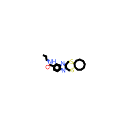 CCCNC(=O)c1ccc2nc3c(nc2c1)CSC1CCCCCCCC1SC3